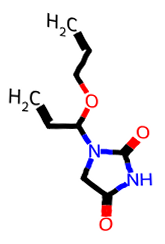 C=CCOC(C=C)N1CC(=O)NC1=O